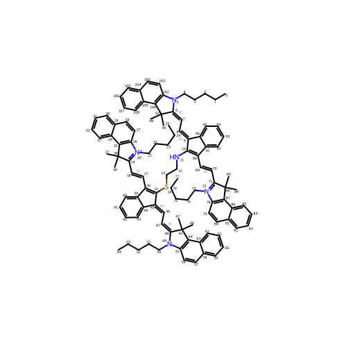 CCCCCN1/C(=C/C=C2C(NCCSC3=C(/C=C/C4=[N+](CCCCC)c5ccc6ccccc6c5C4(C)C)c4ccccc4/C3=C\C=C3\N(CCCCC)c4ccc5ccccc5c4C3(C)C)=C(/C=C/C3=[N+](CCCCC)c4ccc5ccccc5c4C3(C)C)c3ccccc3/2)C(C)(C)c2c1ccc1ccccc21